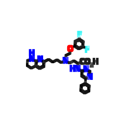 O=C(O)C(CCN(CCCCc1ccc2c(n1)NCCC2)CCOc1cc(F)cc(F)c1)Nc1cc(-c2ccccc2)ncn1